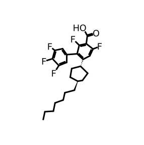 CCCCCCC[C@H]1CC[C@H](c2cc(F)c(C(=O)O)c(F)c2-c2cc(F)c(F)c(F)c2)CC1